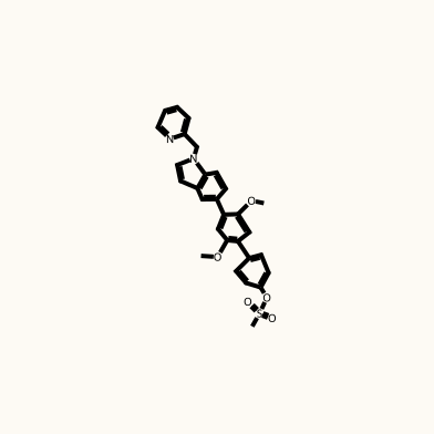 COc1cc(-c2ccc3c(ccn3Cc3ccccn3)c2)c(OC)cc1-c1ccc(OS(C)(=O)=O)cc1